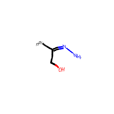 CCCC(CO)=N[NH]